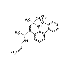 C=CCNC(C)C1=CC(C)(C)Nc2c1cccc2-c1ccccc1OC